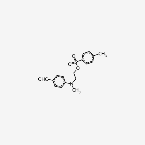 Cc1ccc(S(=O)(=O)OCCN(C)c2ccc(C=O)cc2)cc1